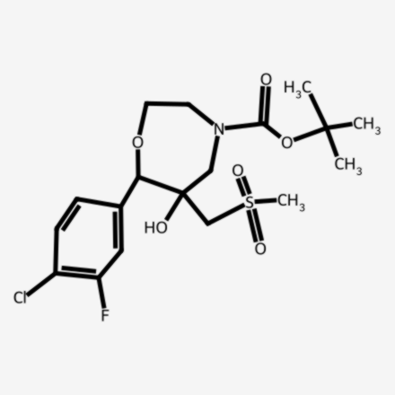 CC(C)(C)OC(=O)N1CCOC(c2ccc(Cl)c(F)c2)C(O)(CS(C)(=O)=O)C1